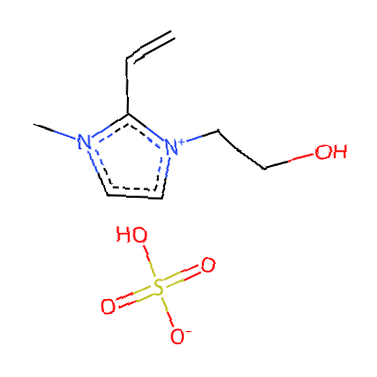 C=Cc1n(C)cc[n+]1CCO.O=S(=O)([O-])O